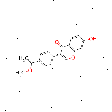 C=C(OC)c1ccc(-c2coc3cc(O)ccc3c2=O)cc1